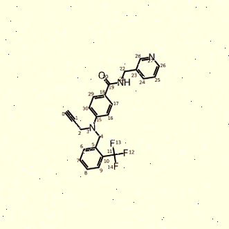 C#CCN(Cc1ccccc1C(F)(F)F)c1ccc(C(=O)NCc2cccnc2)cc1